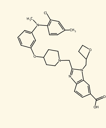 Cc1ccc(N(C)c2cccc(OC3CCN(Cc4nc5ccc(C(=O)O)cc5n4CC4CCO4)CC3)c2)c(Cl)c1